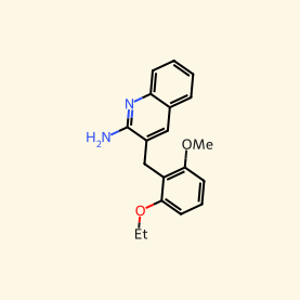 CCOc1cccc(OC)c1Cc1cc2ccccc2nc1N